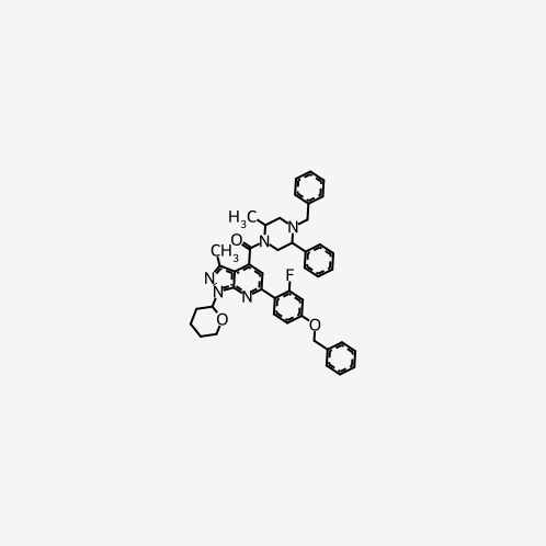 Cc1nn(C2CCCCO2)c2nc(-c3ccc(OCc4ccccc4)cc3F)cc(C(=O)N3CC(c4ccccc4)N(Cc4ccccc4)CC3C)c12